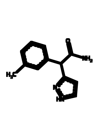 Cc1cccc(C(C(N)=O)c2cc[nH]n2)c1